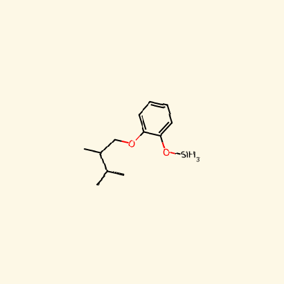 CC(C)C(C)COc1ccccc1O[SiH3]